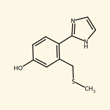 CSCc1cc(O)ccc1-c1ncc[nH]1